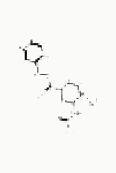 CCC(=O)N[C@H]1CN(C(=O)OCc2ccccc2)CC[C@@H]1O